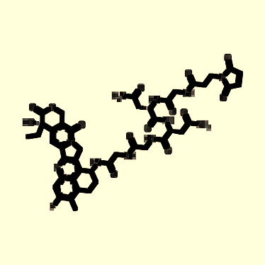 CC[C@@]1(O)C(=O)OCc2c1cc1n(c2=O)Cc2c-1nc1cc(F)c(C)c3c1c2[C@@H](NC(=O)CNC(=O)CNC(=O)[C@H](CC(N)=O)NC(=O)[C@H](CC(N)=O)NC(=O)CNC(=O)CCN1C(=O)C=CC1=O)CC3